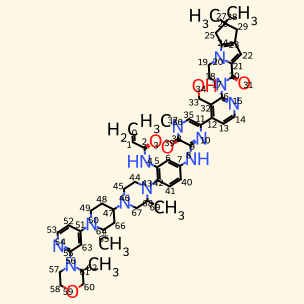 C=CC(=O)Nc1cc(Nc2nc(-c3ccnc(N4CCn5c(cc6c5CC(C)(C)C6)C4=O)c3CO)cn(C)c2=O)ccc1N1CCN(C2CCN(c3ccnc(N4CCOC[C@@H]4C)c3)[C@@H](C)C2)C[C@@H]1C